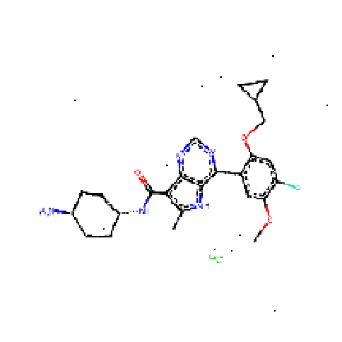 COc1cc(-c2ncnc3c(C(=O)N[C@H]4CC[C@H](N)CC4)c(C)[nH]c23)c(OCC2CC2)cc1F.Cl